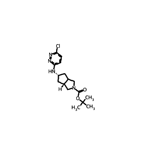 CC(C)(C)OC(=O)N1CC2C[C@@H](Nc3ccc(Cl)nn3)C[C@H]2C1